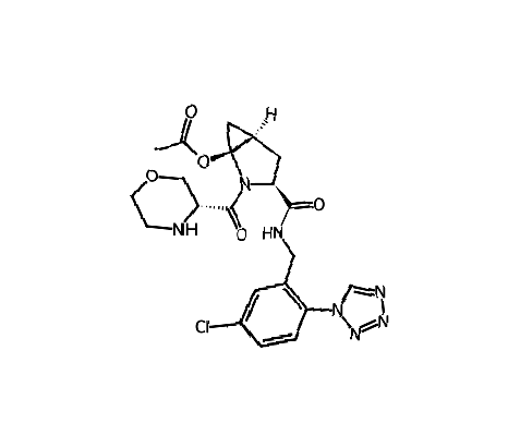 CC(=O)O[C@@]12C[C@H]1C[C@@H](C(=O)NCc1cc(Cl)ccc1-n1cnnn1)N2C(=O)[C@H]1COCCN1